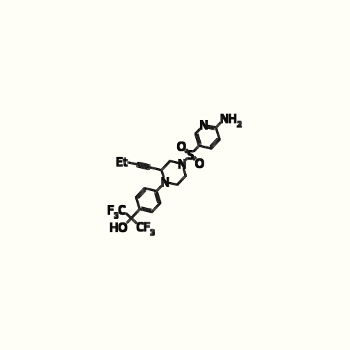 CCC#CC1CN(S(=O)(=O)c2ccc(N)nc2)CCN1c1ccc(C(O)(C(F)(F)F)C(F)(F)F)cc1